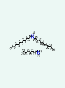 CCCCCCCCCCCCN(C)CCCCCCCCCCCC.CCCCCCCCN(C)C